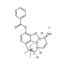 C[N+]1(C)CC[C@]23c4c5ccc(OC(=O)c6ccccc6)c4O[C@H]2[C@@H](O)C=C[C@H]3[C@H]1C5.[I-]